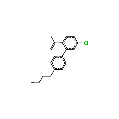 C=C(C)c1ccc(Cl)cc1-c1ccc(CCCC)cc1